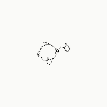 C1=Cc2cc3cc(Cc4ccccn4)c(cc4nc(cc5ccc(cc1n2)[nH]5)C=C4)[nH]3